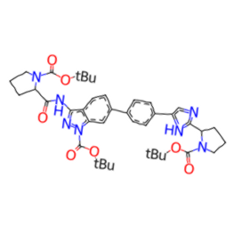 CC(C)(C)OC(=O)N1CCCC1C(=O)Nc1nn(C(=O)OC(C)(C)C)c2cc(-c3ccc(-c4cnc(C5CCCN5C(=O)OC(C)(C)C)[nH]4)cc3)ccc12